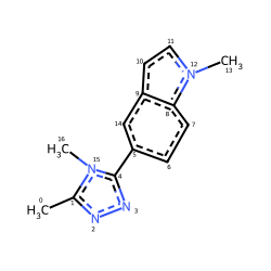 Cc1nnc(-c2ccc3c(ccn3C)c2)n1C